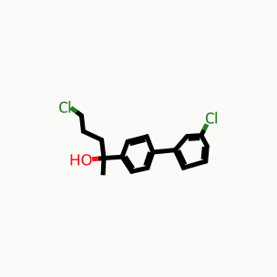 CC(O)(CCCCl)c1ccc(-c2cccc(Cl)c2)cc1